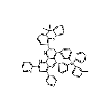 Cc1cccc([Si](c2ccccc2)(c2ccccc2)c2cccc(-c3cc(-c4cccc5c4Sc4ccccc4C5(C)C)nc4c3ccc3c(-c5ccccc5)cc(-c5ccccn5)nc34)c2)c1